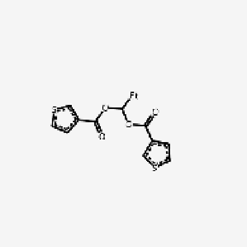 CC[C](OC(=O)c1ccsc1)OC(=O)c1ccsc1